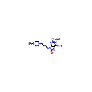 CCCCCc1nc(N)c2nc(O)n(CCCCN3CCN(C(C)C)CC3)c2n1